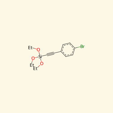 CCO[Si](C#Cc1ccc(Br)cc1)(OCC)OCC